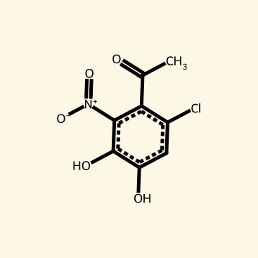 CC(=O)c1c(Cl)cc(O)c(O)c1[N+](=O)[O-]